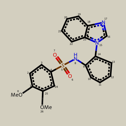 COc1ccc(S(=O)(=O)Nc2ccccc2-n2cnc3ccccc32)cc1OC